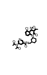 CC(=O)N(C(C)=O)c1cncc(C(=O)NCC2CCCC(n3c(=O)c4c(C)onc4c4c(Cl)cccc43)C2)c1